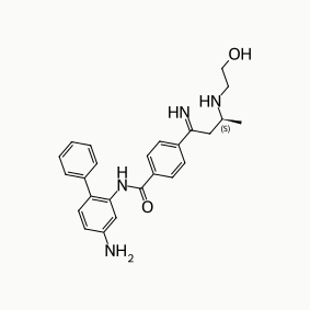 C[C@@H](CC(=N)c1ccc(C(=O)Nc2cc(N)ccc2-c2ccccc2)cc1)NCCO